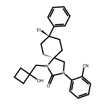 CC[C@]1(c2ccccc2)CC[C@]2(CC1)CN(c1ccccc1C#N)C(=O)N2CC1(O)CCC1